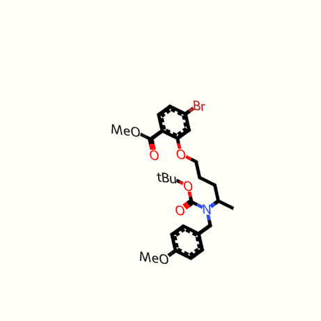 COC(=O)c1ccc(Br)cc1OCCCC(C)N(Cc1ccc(OC)cc1)C(=O)OC(C)(C)C